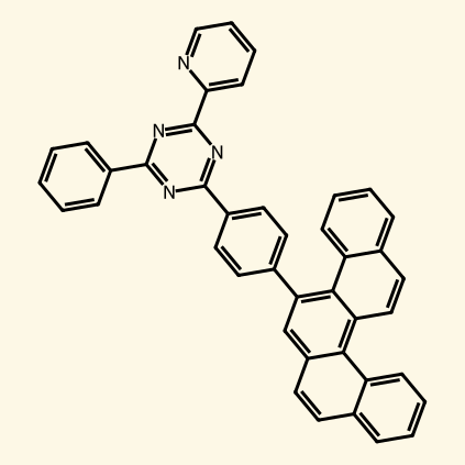 c1ccc(-c2nc(-c3ccc(-c4cc5ccc6ccccc6c5c5ccc6ccccc6c45)cc3)nc(-c3ccccn3)n2)cc1